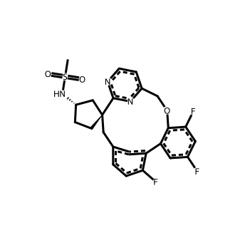 CS(=O)(=O)N[C@H]1CC[C@@]2(Cc3ccc(F)c(c3)-c3cc(F)cc(F)c3OCc3ccnc2n3)C1